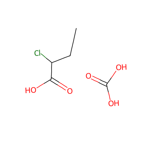 CCC(Cl)C(=O)O.O=C(O)O